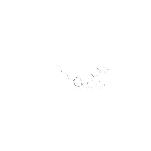 CCCCCc1ccc(S(=O)(=O)NC2(CC(=O)OC(=O)C(F)(F)F)CNC2)cc1